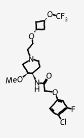 CO[C@H]1CN(CCO[C@H]2C[C@@H](OC(F)(F)F)C2)CC[C@H]1NC(=O)COc1ccc(Cl)c(F)c1